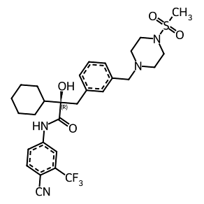 CS(=O)(=O)N1CCN(Cc2cccc(C[C@](O)(C(=O)Nc3ccc(C#N)c(C(F)(F)F)c3)C3CCCCC3)c2)CC1